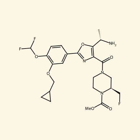 COC(=O)N1CCN(C(=O)c2nc(-c3ccc(OC(F)F)c(OCC4CC4)c3)oc2[C@H](C)N)C[C@H]1CF